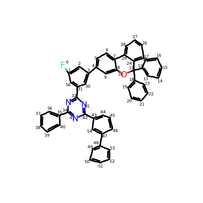 Fc1cc(-c2ccc3c(c2)OC(c2ccccc2)(c2ccccc2)c2ccccc2-3)cc(-c2nc(-c3ccccc3)nc(-c3cccc(-c4ccccc4)c3)n2)c1